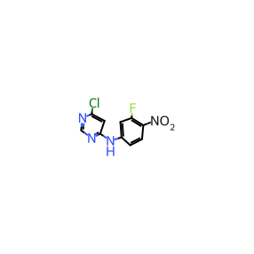 O=[N+]([O-])c1ccc(Nc2cc(Cl)ncn2)cc1F